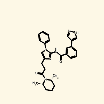 C[C@@H]1CCC[C@H](C)N1C(=O)CCc1cn(-c2ccccc2)c(NC(=O)c2cccc(-c3cn[nH]c3)c2)n1